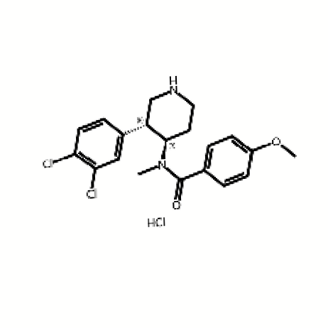 COc1ccc(C(=O)N(C)[C@@H]2CCNC[C@H]2c2ccc(Cl)c(Cl)c2)cc1.Cl